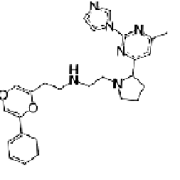 Cc1cc(C2CCCN2CCNCCC2=COC=C(C3=CC=CCC3)O2)nc(-n2ccnc2)n1